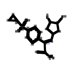 NC(=O)/C(=C/C1CC(F)C(F)C1)c1ccc(S(=O)(=O)C2CC2)cc1